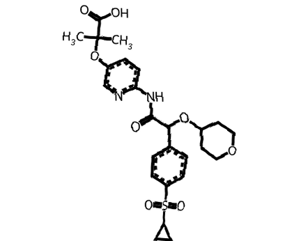 CC(C)(Oc1ccc(NC(=O)C(OC2CCOCC2)c2ccc(S(=O)(=O)C3CC3)cc2)nc1)C(=O)O